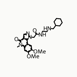 COc1cc2c3c(cnn3CC(=O)NCCNCC3CCCCC3)c(=O)n(C)c2cc1OC